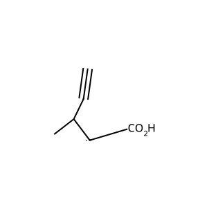 C#CC(C)[CH]C(=O)O